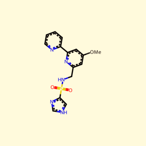 COc1cc(CNS(=O)(=O)c2c[nH]cn2)nc(-c2ccccn2)c1